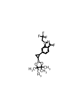 CC1(C)OB(C2CC2c2ccc3c(F)nn(CC(F)(F)F)c3c2)OC1(C)C